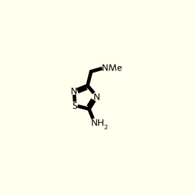 CNCc1nsc(N)n1